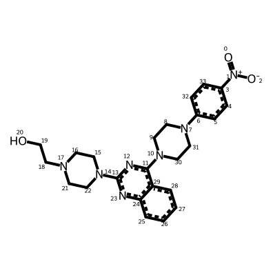 O=[N+]([O-])c1ccc(N2CCN(c3nc(N4CCN(CCO)CC4)nc4ccccc34)CC2)cc1